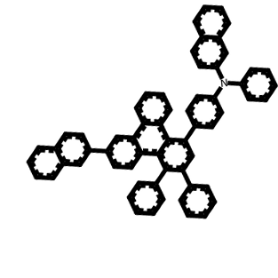 c1ccc(-c2cc(-c3ccc(N(c4ccccc4)c4ccc5ccccc5c4)cc3)c3c4ccccc4c4cc(-c5ccc6ccccc6c5)ccc4c3c2-c2ccccc2)cc1